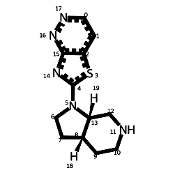 c1cc2sc(N3CC[C@H]4CCNC[C@H]43)nc2nn1